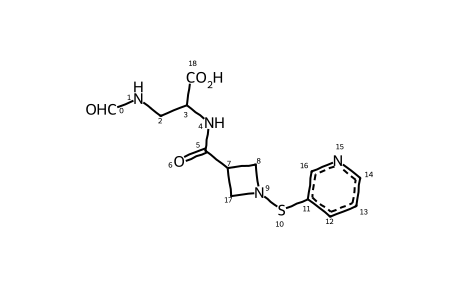 O=CNCC(NC(=O)C1CN(Sc2cccnc2)C1)C(=O)O